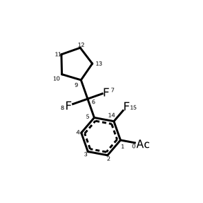 CC(=O)c1cccc(C(F)(F)C2CCCC2)c1F